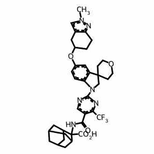 Cn1cc2c(n1)CCC(Oc1ccc3c(c1)C1(CCOCC1)CN3c1ncc(C(=O)NC3(C(=O)O)C4CC5CC(C4)CC3C5)c(C(F)(F)F)n1)C2